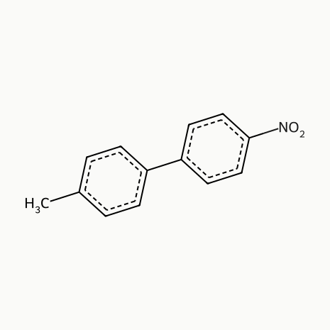 Cc1ccc(-c2ccc([N+](=O)[O-])cc2)cc1